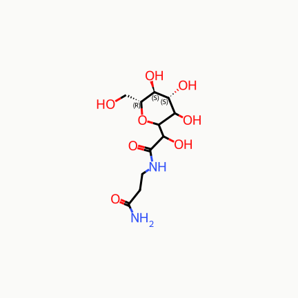 NC(=O)CCNC(=O)C(O)C1O[C@H](CO)[C@@H](O)[C@H](O)C1O